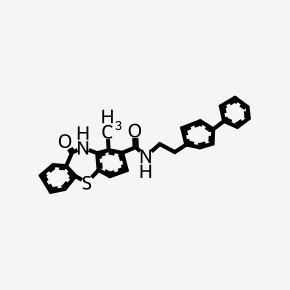 Cc1c(C(=O)NCCc2ccc(-c3ccccc3)cc2)ccc2c1NC(=O)c1ccccc1S2